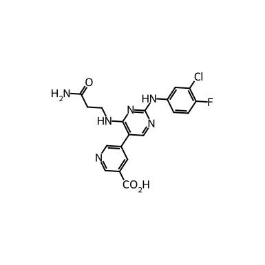 NC(=O)CCNc1nc(Nc2ccc(F)c(Cl)c2)ncc1-c1cncc(C(=O)O)c1